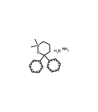 C[Si]1(C)CCCC(c2ccccc2)(c2ccccc2)O1.N.N